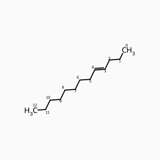 CCCC=CCCCCCCCC